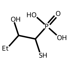 CCC(O)C(S)P(=O)(O)O